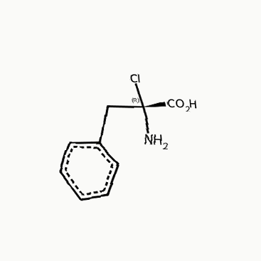 N[C@@](Cl)(Cc1ccccc1)C(=O)O